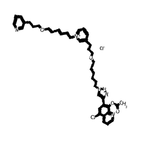 CC(=O)Oc1c(-c2cn(CCCCCCOCCCc3ccc[n+](CCCCCCOCCCc4cccnc4)c3)nn2)cc(Cl)c2cccnc12.[Cl-]